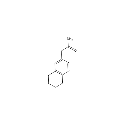 NC(=O)Cc1ccc2c(c1)CCCC2